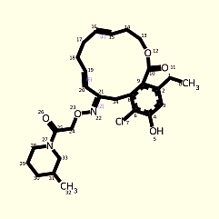 CCc1cc(O)c(Cl)c2c1C(=O)OCC/C=C/CC/C=C/C(=N\OCC(=O)N1CCCC(C)C1)C2